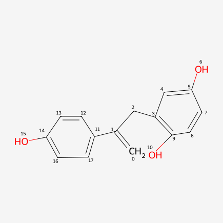 C=C(Cc1cc(O)ccc1O)c1ccc(O)cc1